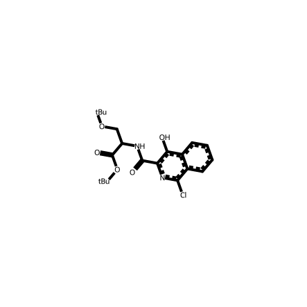 CC(C)(C)OCC(NC(=O)c1nc(Cl)c2ccccc2c1O)C(=O)OC(C)(C)C